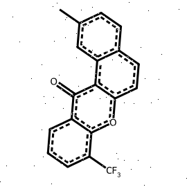 Cc1ccc2ccc3oc4c(C(F)(F)F)cccc4c(=O)c3c2c1